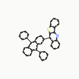 c1ccc(-c2c3ccccc3c(-c3ccccc3)c3cc(-c4c5ccccc5nc5c4sc4ccccc45)ccc23)cc1